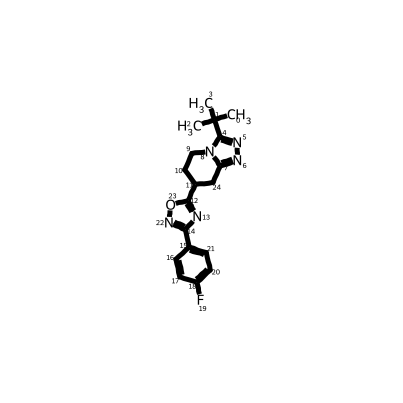 CC(C)(C)c1nnc2n1CCC(c1nc(-c3ccc(F)cc3)no1)C2